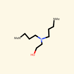 CNCCCN(CCO)CCCNC